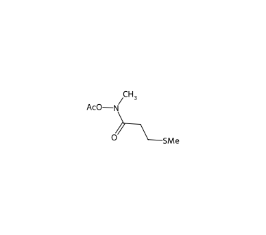 CSCCC(=O)N(C)OC(C)=O